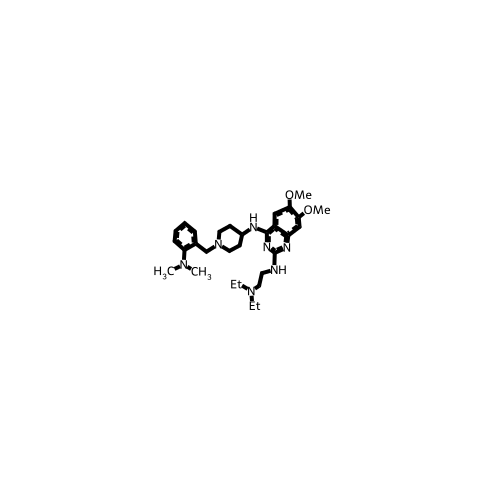 CCN(CC)CCNc1nc(NC2CCN(Cc3ccccc3N(C)C)CC2)c2cc(OC)c(OC)cc2n1